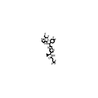 O=C(CCC(F)(F)F)N[C@@H](c1cnn2cc([C@@H](NC(=O)c3ccnn3C(CF)CF)C3CCC(F)(F)CC3)nc2c1)C1CC1